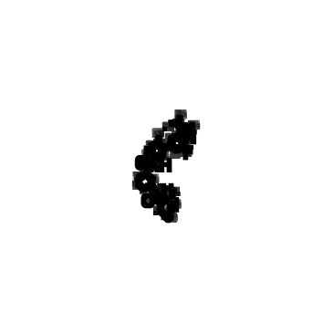 C#C/C=C(C(=O)N[C@@H]1CCC[C@H](C(=O)Nc2cc(-c3cc(F)c4nn(C)c(C(C)C)c4c3)c(C)cn2)C1)\C(=N/C)OC